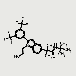 CC(C)(C)NC(=O)C(C)(C)c1ccc2c(c1)cc(-c1cc(C(F)(F)F)cc(C(F)(F)F)c1)n2CCO